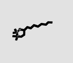 CCCCCCCCC1CC[Si](C)(C)[Si](C)(C)O1